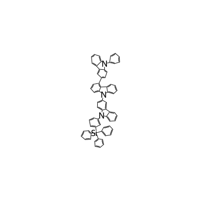 c1ccc(-n2c3ccccc3c3cc(-c4cccc5c4c4ccccc4n5-c4ccc5c(c4)c4ccccc4n5-c4cccc([Si](c5ccccc5)(c5ccccc5)c5ccccc5)c4)ccc32)cc1